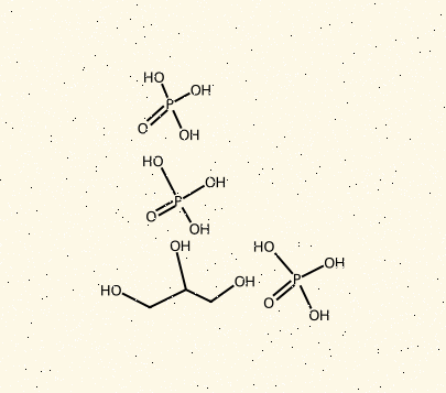 O=P(O)(O)O.O=P(O)(O)O.O=P(O)(O)O.OCC(O)CO